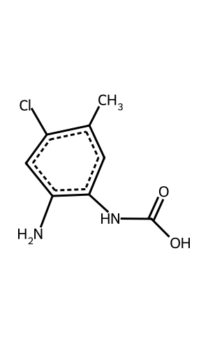 Cc1cc(NC(=O)O)c(N)cc1Cl